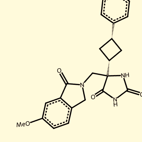 COc1ccc2c(c1)C(=O)N(CC1([C@H]3C[C@@H](c4ccccc4)C3)NC(=O)NC1=O)C2